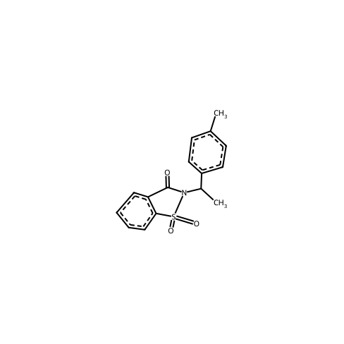 Cc1ccc(C(C)N2C(=O)c3ccccc3S2(=O)=O)cc1